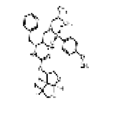 COc1ccc(S(=O)(=O)N(CC(C)C)C[C@@H](O)[C@H](Cc2ccccc2)NC(=O)O[C@H]2CO[C@H]3OCC(F)(F)[C@H]32)cc1